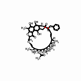 CO[C@H]1/C=C/O[C@@]2(C)Oc3c(C)c(O)c4c(O)c(c(CCNCc5ccccc5)c(O)c4c3C2=O)NC(=O)/C(C)=C\C=C\[C@H](C)[C@H](O)[C@@H](C)[C@@H](O)[C@@H](C)[C@H](OC(C)=O)[C@@H]1C